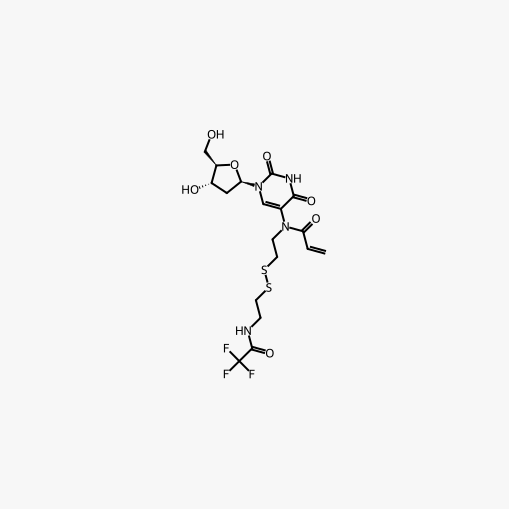 C=CC(=O)N(CCSSCCNC(=O)C(F)(F)F)c1cn([C@H]2C[C@H](O)[C@@H](CO)O2)c(=O)[nH]c1=O